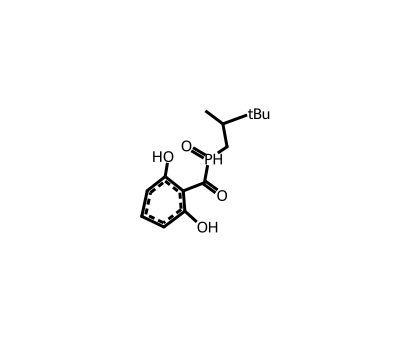 CC(C[PH](=O)C(=O)c1c(O)cccc1O)C(C)(C)C